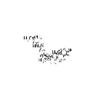 C[C@H](OC(=O)CCC(=O)NCCN(C)C)[C@H]1CCC2C3CCC4=CC(=O)CC[C@]4(C)C3CC[C@@]21C